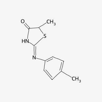 Cc1ccc(/N=C2/NC(=O)C(C)S2)cc1